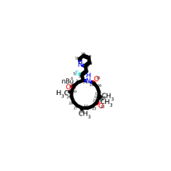 CCCCC12CC(C(F)=Cc3ccccn3)NC(=O)CCC(C)(C)C(=O)CCC(C)CCCC1(C)O2